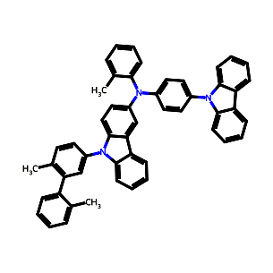 Cc1ccccc1-c1cc(-n2c3ccccc3c3cc(N(c4ccc(-n5c6ccccc6c6ccccc65)cc4)c4ccccc4C)ccc32)ccc1C